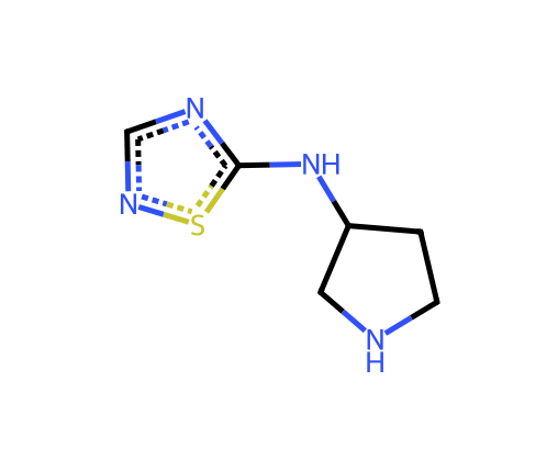 c1nsc(NC2CCNC2)n1